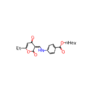 CCCCCCOC(=O)c1ccc(NC=C2C(=O)C=C(CC)OC2=O)cc1